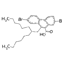 CCCCCCC(CCCCCC)Cc1c(C(=O)O)c2cc(Br)ccc2c2ccc(Br)cc12